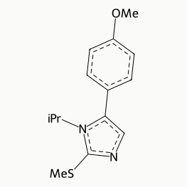 COc1ccc(-c2cnc(SC)n2C(C)C)cc1